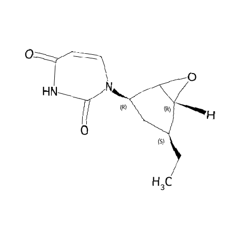 CC[C@H]1C[C@@H](n2ccc(=O)[nH]c2=O)C2O[C@@H]21